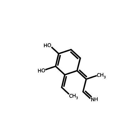 C/C=c1/c(O)c(O)cc/c1=C(\C)C=N